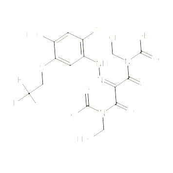 CCN(C(=O)O)C(=O)C(=NNc1cc(SCC(F)(F)F)c(C)cc1F)C(=O)N(CC)C(=O)O